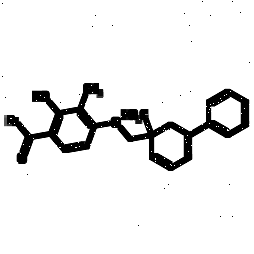 Cc1c(OCC2(C(=O)O)C=CC=C(c3ccccc3)C2)ccc(C(=O)C(C)C)c1O